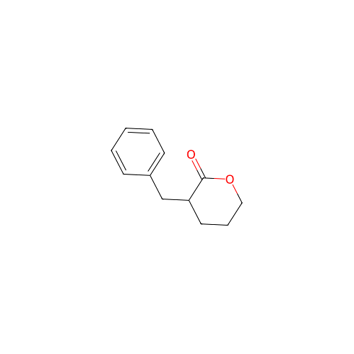 O=C1OCCCC1Cc1ccccc1